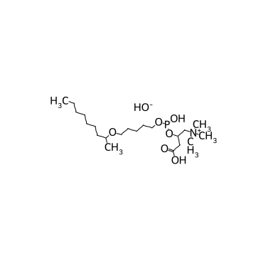 CCCCCCCC(C)OCCCCCOP(O)OC(CC(=O)O)C[N+](C)(C)C.[OH-]